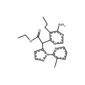 CCCc1c([AsH2])ncnc1C(C(=O)OCC)c1ccnn1-c1ncccc1F